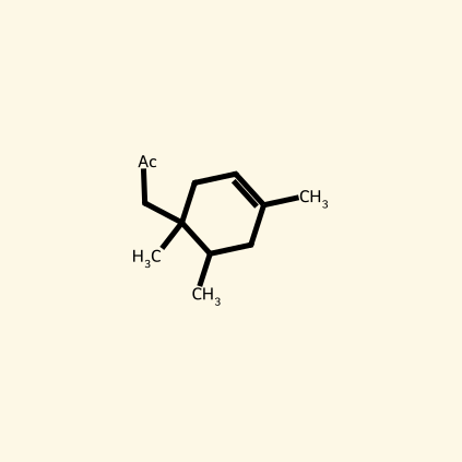 CC(=O)CC1(C)CC=C(C)CC1C